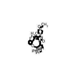 C=CC(=O)N1CCN(c2nc(=O)n3c4nc(c(F)cc24)-c2c(F)cccc2OCC(OC(C)C)C(O)C(/C=C\NCC(C)C)=C\3)[C@@H](C)C1